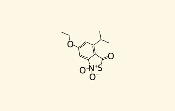 CCOc1cc(C(C)C)c2c(c1)[N+]([O-])([O-])SC2=O